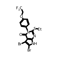 CCSc1nc2[nH]c(Br)c(Br)c2c(=O)n1-c1ccc(OCC(F)(F)F)cc1